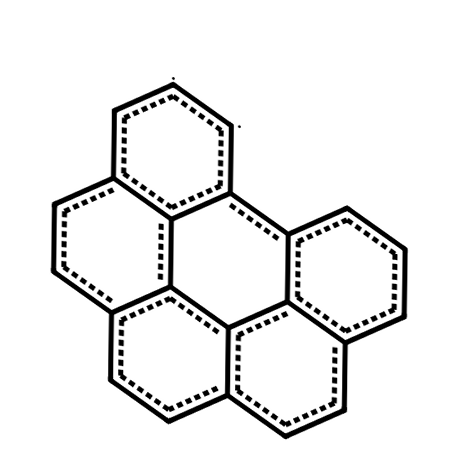 [c]1[c]c2c3cccc4ccc5ccc6ccc(c1)c2c6c5c43